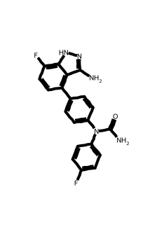 NC(=O)N(c1ccc(F)cc1)c1ccc(-c2ccc(F)c3[nH]nc(N)c23)cc1